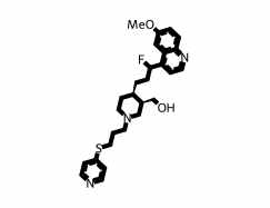 COc1ccc2nccc(C(F)CC[C@@H]3CCN(CCCSc4ccncc4)C[C@@H]3CO)c2c1